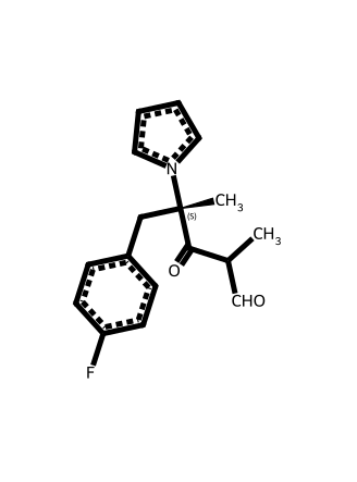 CC(C=O)C(=O)[C@](C)(Cc1ccc(F)cc1)n1cccc1